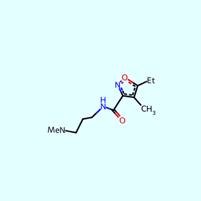 CCc1onc(C(=O)NCCCNC)c1C